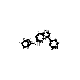 c1cc(-c2cnc3ccc(NC4CC5CCC4C5)nn23)ccn1